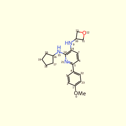 COc1ccc(-c2ccc(NC3COC3)c(NC3CCCC3)n2)cc1